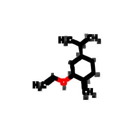 C=COC1C[C@@H](C(C)C)CCC1=C